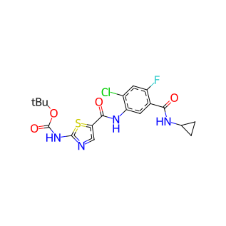 CC(C)(C)OC(=O)Nc1ncc(C(=O)Nc2cc(C(=O)NC3CC3)c(F)cc2Cl)s1